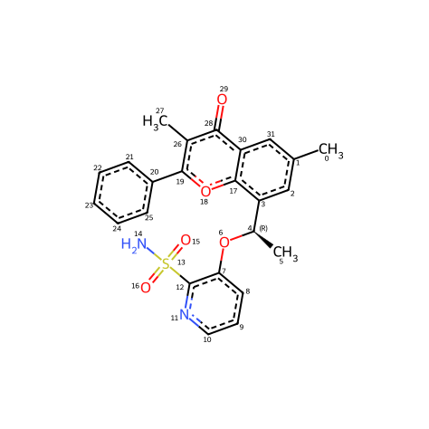 Cc1cc([C@@H](C)Oc2cccnc2S(N)(=O)=O)c2oc(-c3ccccc3)c(C)c(=O)c2c1